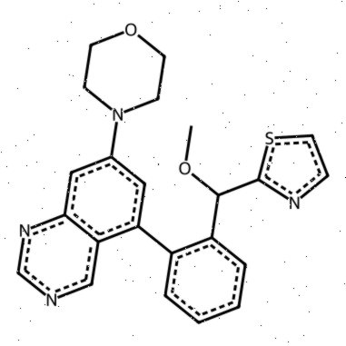 COC(c1nccs1)c1ccccc1-c1cc(N2CCOCC2)cc2ncncc12